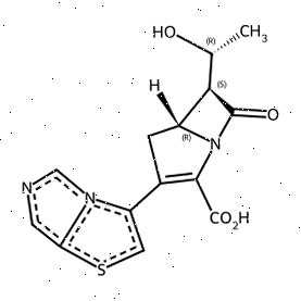 C[C@@H](O)[C@H]1C(=O)N2C(C(=O)O)=C(c3csc4cncn34)C[C@H]12